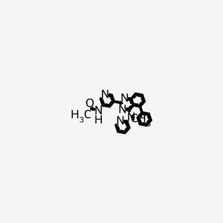 CC(=O)Nc1cncc(-c2nc(N(C)c3ccccn3)c3c(-c4ccccc4)cccc3n2)c1